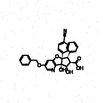 N#Cc1ccc([C@@]23Oc4cc(OCc5ccccc5)cnc4[C@]2(O)[C@H](O)[C@H](C(=O)O)[C@H]3c2ccccc2)cc1